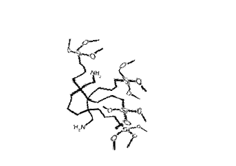 CO[Si](CCCC1(CN)CCCC(CN)(CCC[Si](OC)(OC)OC)C1(CCC[Si](OC)(OC)OC)CCC[Si](OC)(OC)OC)(OC)OC